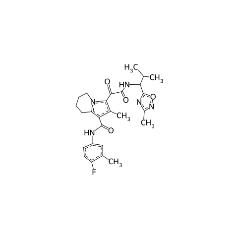 Cc1noc(C(NC(=O)C(=O)c2c(C)c(C(=O)Nc3ccc(F)c(C)c3)c3n2CCCC3)C(C)C)n1